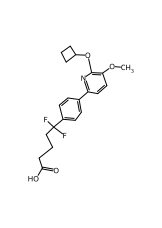 COc1ccc(-c2ccc(C(F)(F)CCCC(=O)O)cc2)nc1OC1CCC1